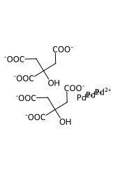 O=C([O-])CC(O)(CC(=O)[O-])C(=O)[O-].O=C([O-])CC(O)(CC(=O)[O-])C(=O)[O-].[Pd+2].[Pd+2].[Pd+2]